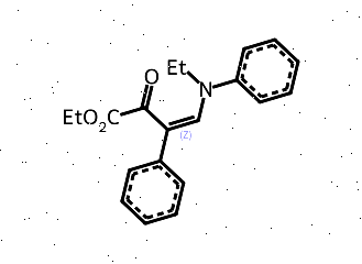 CCOC(=O)C(=O)/C(=C\N(CC)c1ccccc1)c1ccccc1